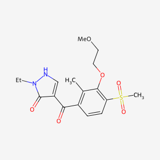 CCn1[nH]cc(C(=O)c2ccc(S(C)(=O)=O)c(OCCOC)c2C)c1=O